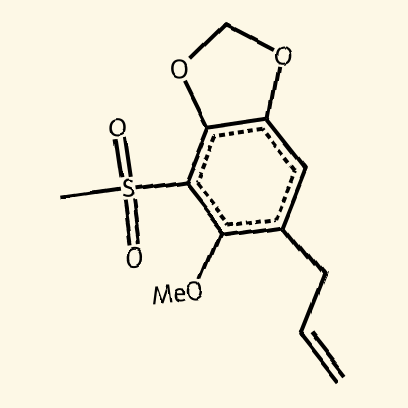 C=CCc1cc2c(c(S(C)(=O)=O)c1OC)OCO2